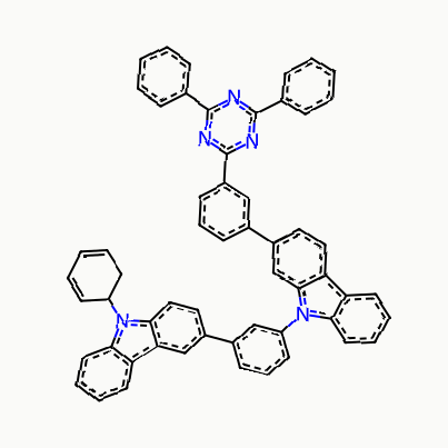 C1=CCC(n2c3ccccc3c3cc(-c4cccc(-n5c6ccccc6c6ccc(-c7cccc(-c8nc(-c9ccccc9)nc(-c9ccccc9)n8)c7)cc65)c4)ccc32)C=C1